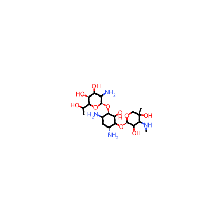 CNC1C(O)[C@@H](OC2C(O)[C@H](O[C@H]3OC(C(C)O)[C@@H](O)C(O)C3N)C(N)C[C@H]2N)OC[C@]1(C)O